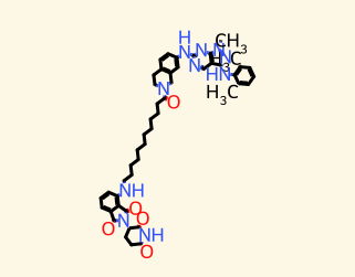 Cc1cccc(C)c1Nc1nn(C)c2nc(Nc3ccc4c(c3)CN(C(=O)CCCCCCCCCCCNc3cccc5c3C(=O)N(C3CCC(=O)NC3=O)C5=O)CC4)ncc12